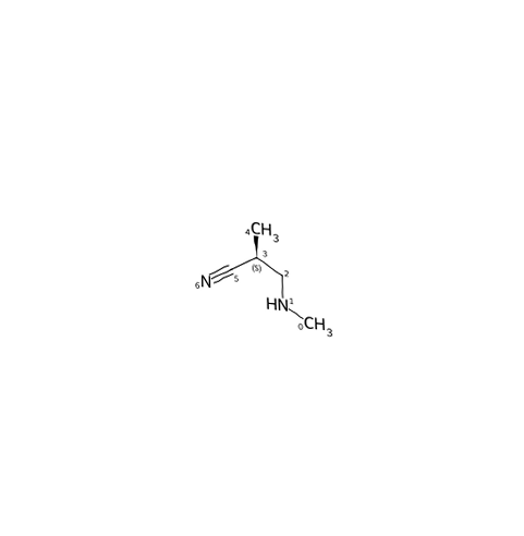 CNC[C@H](C)C#N